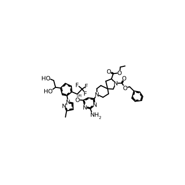 CCOC(=O)C1CC2(CCN(c3cc(O[C@H](c4ccc(C(O)CO)cc4-n4ccc(C)n4)C(F)(F)F)nc(N)n3)CC2)CN1C(=O)OCc1ccccc1